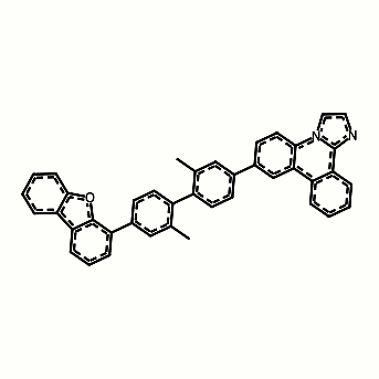 Cc1cc(-c2ccc3c(c2)c2ccccc2c2nccn32)ccc1-c1ccc(-c2cccc3c2oc2ccccc23)cc1C